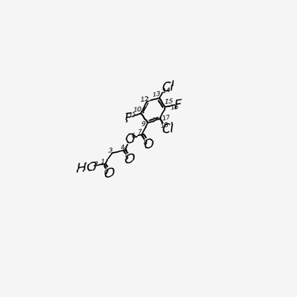 O=C(O)CC(=O)OC(=O)c1c(F)cc(Cl)c(F)c1Cl